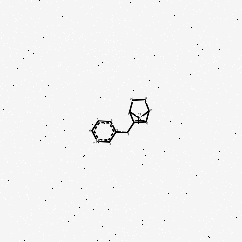 C1=C(Cc2cccnc2)C2CCC1N2